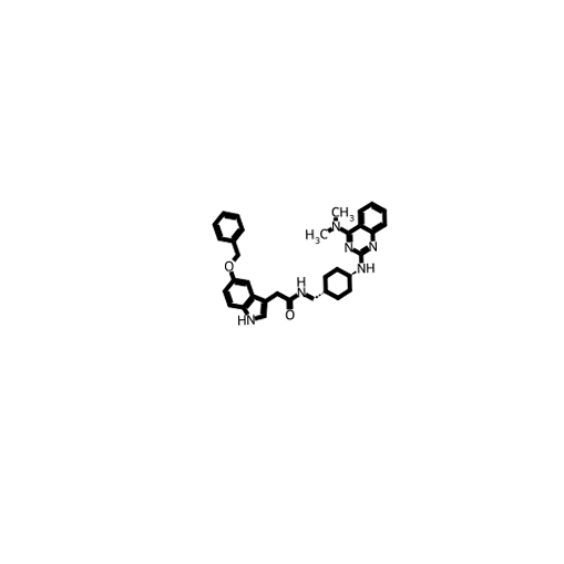 CN(C)c1nc(N[C@H]2CC[C@@H](CNC(=O)Cc3c[nH]c4ccc(OCc5ccccc5)cc34)CC2)nc2ccccc12